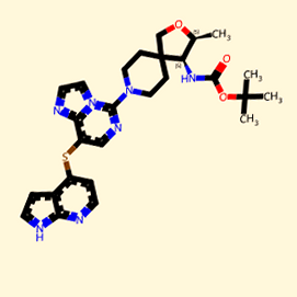 C[C@@H]1OCC2(CCN(c3ncc(Sc4ccnc5[nH]ccc45)c4nccn34)CC2)[C@@H]1NC(=O)OC(C)(C)C